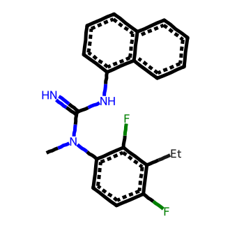 CCc1c(F)ccc(N(C)C(=N)Nc2cccc3ccccc23)c1F